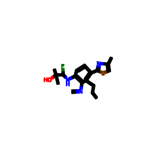 C=Nc1c(NC(F)C(C)(C)O)ccc(-c2nc(C)cs2)c1CCC